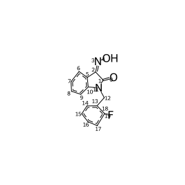 O=C1/C(=N\O)c2ccccc2N1Cc1ccccc1F